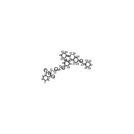 O=C1c2ccccc2C(=O)N1CCOCCOc1ccc(C2c3ccc(OCc4ccccc4)cc3CC[C@@H]2c2ccccc2)cc1